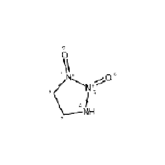 O=[N+]1CCN[N+]1=O